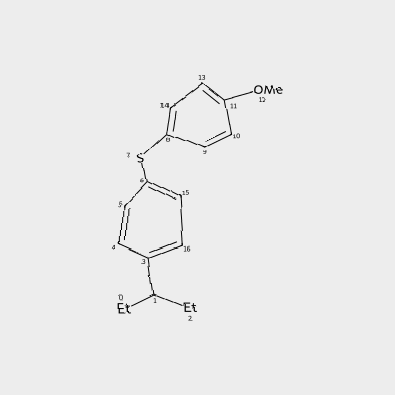 CCC(CC)c1ccc(Sc2ccc(OC)cc2)cc1